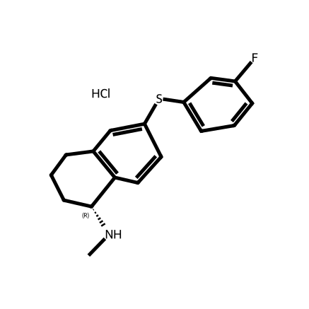 CN[C@@H]1CCCc2cc(Sc3cccc(F)c3)ccc21.Cl